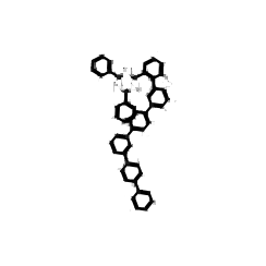 c1ccc(-c2ccc(-c3cccc(-c4ccc(-c5ccc6sc7cccc(-c8nc(-c9ccccc9)nc(-c9ccccc9)n8)c7c6c5)cc4)c3)cc2)cc1